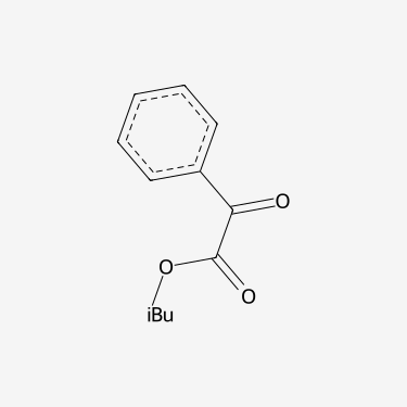 CCC(C)OC(=O)C(=O)c1ccccc1